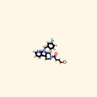 [O]CCCC(=O)N1CCc2c(n(Cc3cccc(F)c3)c3ncccc23)C1